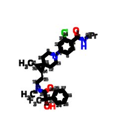 CC(C)NC(=O)c1ccc(N2CCC3(CC2)[C@H](CCN(C)C(=O)C(O)(c2ccccc2)C(F)(F)F)[C@@H]3C)cc1Cl